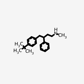 CNCCC(Cc1ccc(C(C)(C)C)cc1)c1ccccc1